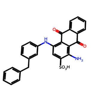 Nc1c(S(=O)(=O)O)cc(Nc2cccc(Cc3ccccc3)c2)c2c1C(=O)c1ccccc1C2=O